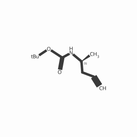 C#CC[C@H](C)NC(=O)OC(C)(C)C